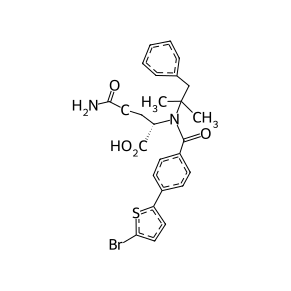 CC(C)(Cc1ccccc1)N(C(=O)c1ccc(-c2ccc(Br)s2)cc1)[C@@H](CCC(N)=O)C(=O)O